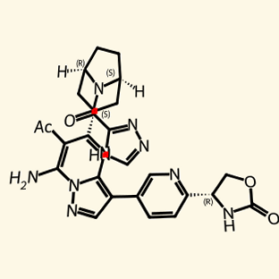 CC(=O)c1c([C@@H]2C[C@H]3CC[C@@H](C2)N3C(=O)c2nnc[nH]2)nc2c(-c3ccc([C@@H]4COC(=O)N4)nc3)cnn2c1N